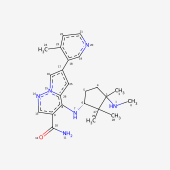 CNC1(C)CC[C@@H](Nc2c(C(N)=O)cnn3cc(-c4cnccc4C)cc23)C1(C)C